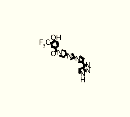 O=C(c1ccc(O)c(C(F)(F)F)c1)N1CCC(N2C[C](n3ccc(-c4ncnc5[nH]ccc45)c3)C2)CC1